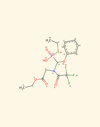 CCOC(=O)CN(C(=O)C(F)(F)F)C(Oc1ccccc1)P(=O)(O)SCC